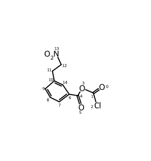 O=C(Cl)OC(=O)c1cccc(CC[N+](=O)[O-])c1